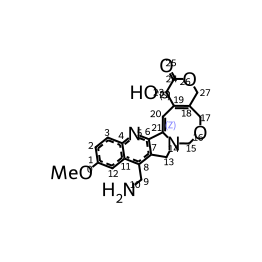 COc1ccc2nc3c(c(CN)c2c1)CN1COCC2=C(/C=C/31)[C@H](O)C(=O)OC2